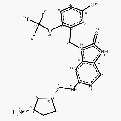 N[C@H]1CC[C@@H](CNc2ncc3[nH]c(=O)n(Cc4cc(Cl)ccc4OC(F)(F)F)c3n2)C1